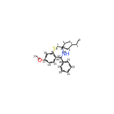 CCCC[C@]1(CC)CSc2cc(OC)ccc2[C@H](c2ccccc2)N1